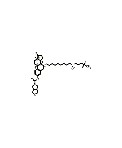 C[C@]12CC[C@@H]3c4ccc(OC(=O)N5CC6COCC6C5)cc4C[C@@H](CCCCCCCCC[S+]([O-])CCCC(F)(F)C(F)(F)F)[C@H]3[C@@H]1CCC2=O